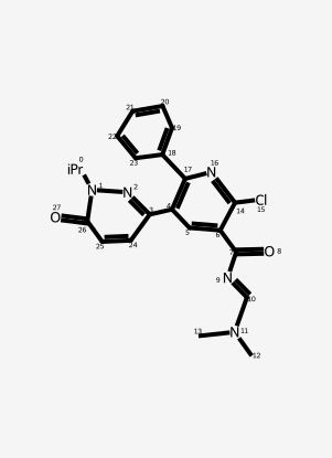 CC(C)n1nc(-c2cc(C(=O)/N=C/N(C)C)c(Cl)nc2-c2ccccc2)ccc1=O